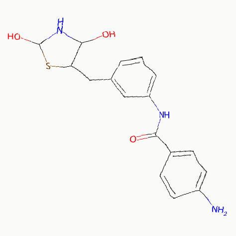 Nc1ccc(C(=O)Nc2cccc(CC3SC(O)NC3O)c2)cc1